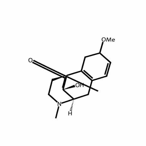 COC1C=CC2=C(C1)[C@]13CCN(C)[C@H](C2)[C@]1(O)CCC(=O)C3